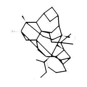 BCC(C)[C@@]12C3CCC[C@]45CC16C[C@H]4[C@H]1CC[C@]2(C)C2CC6(CCC(C)(C)[C@]4(C)C3CC54)C1C1CC2C1